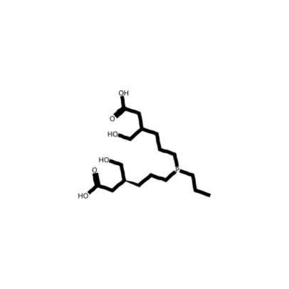 CCCP(CCCC(CO)CC(=O)O)CCC[C@H](CO)CC(=O)O